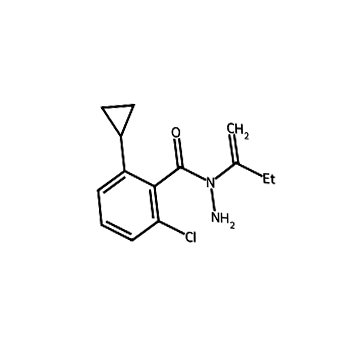 C=C(CC)N(N)C(=O)c1c(Cl)cccc1C1CC1